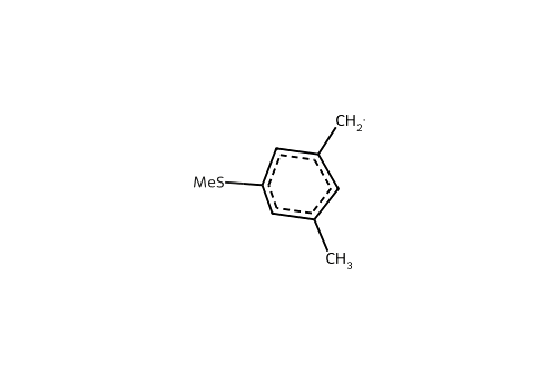 [CH2]c1cc(C)cc(SC)c1